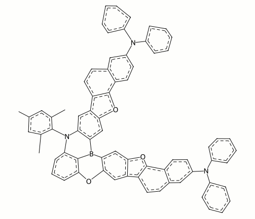 Cc1cc(C)c(N2c3cc4c(cc3B3c5cc6oc7c8ccc(N(c9ccccc9)c9ccccc9)cc8ccc7c6cc5Oc5cccc2c53)oc2c3ccc(N(c5ccccc5)c5ccccc5)cc3ccc42)c(C)c1